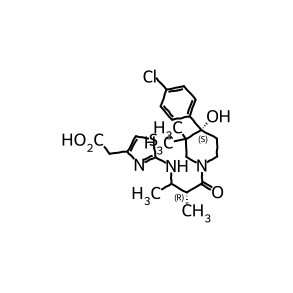 CC(Nc1nc(CC(=O)O)cs1)[C@@H](C)C(=O)N1CC[C@](O)(c2ccc(Cl)cc2)C(C)(C)C1